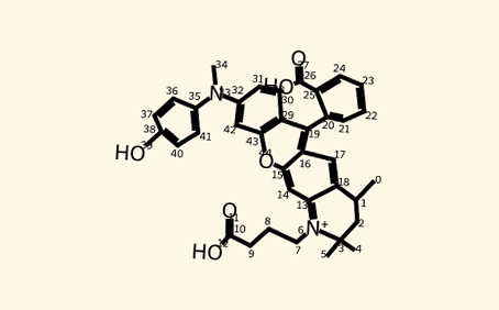 CC1CC(C)(C)[N+](CCCC(=O)O)=c2cc3c(cc21)=C(c1ccccc1C(=O)O)c1ccc(N(C)c2ccc(O)cc2)cc1O3